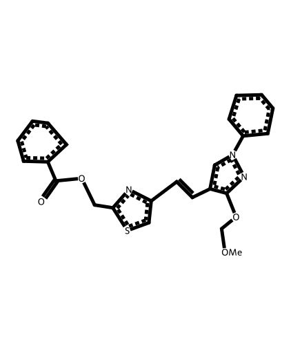 COCOc1nn(-c2ccccc2)cc1C=Cc1csc(COC(=O)c2ccccc2)n1